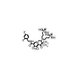 CC1(C)C(=O)c2c(O)c(=O)c(C(=O)NCc3ccc(F)cc3F)cn2CC1N(CCCP(=O)(O)O)CCCP(=O)(O)O